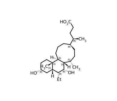 CC[C@H]1[C@@H](O)[C@H]2[C@@H](C)CC[C@H]([C@H](C)CCC(=O)O)CCC[C@@H]2[C@@]2(C)CC[C@@H](O)C[C@@H]12